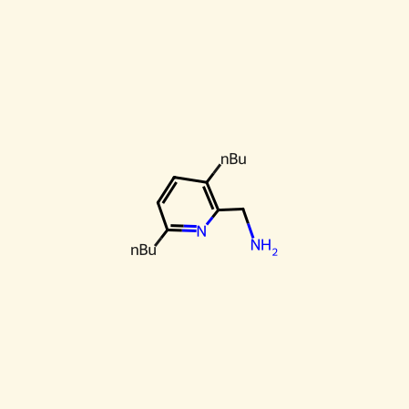 CCCCc1ccc(CCCC)c(CN)n1